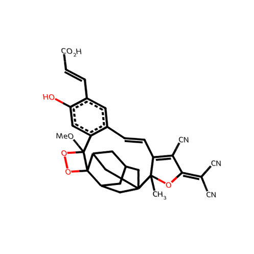 COC12OOC13C1CC4CC3CC(C4)(C1)C1(C)OC(=C(C#N)C#N)C(C#N)=C1/C=C/c1cc(/C=C/C(=O)O)c(O)cc12